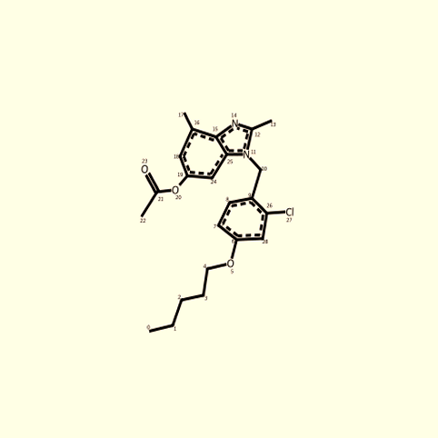 CCCCCOc1ccc(Cn2c(C)nc3c(C)cc(OC(C)=O)cc32)c(Cl)c1